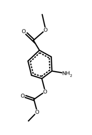 COC(=O)Oc1ccc(C(=O)OC)cc1N